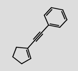 C(#Cc1ccccc1)C1=CCCC1